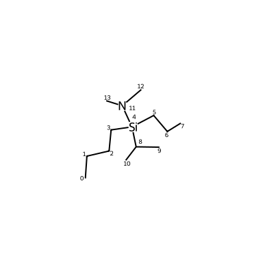 CCCC[Si](CCC)(C(C)C)N(C)C